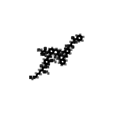 CC(C)[C@H](N)C(=O)Oc1ccc(CC(C)[C@H](N)C(=O)Oc2ccccc2/N=N/c2ccc(NC(=O)CNC(=O)c3ccccc3)nc2N)cc1/N=N/c1ccc(NC(=O)[C@@H](N)CCCCN)nc1N